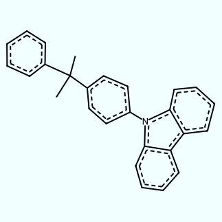 CC(C)(c1ccccc1)c1ccc(-n2c3ccccc3c3ccccc32)cc1